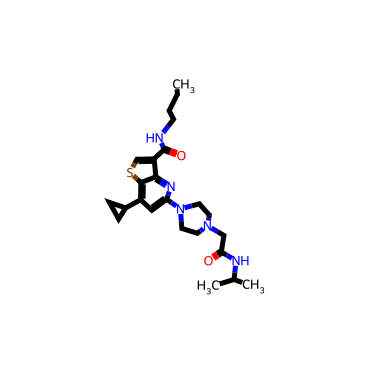 CCCCNC(=O)c1csc2c(C3CC3)cc(N3CCN(CC(=O)NC(C)C)CC3)nc12